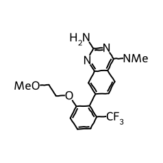 CNc1nc(N)nc2cc(-c3c(OCCOC)cccc3C(F)(F)F)ccc12